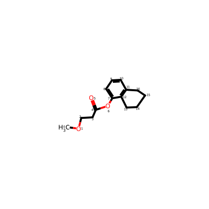 COCCC(=O)Oc1cccc2c1CCCC2